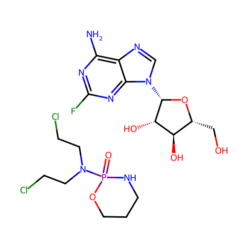 Nc1nc(F)nc2c1ncn2[C@@H]1O[C@H](CO)[C@@H](O)[C@@H]1O.O=P1(N(CCCl)CCCl)NCCCO1